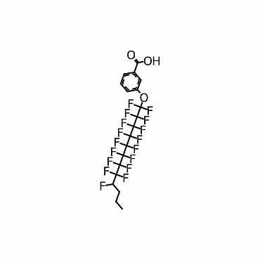 CCCC(F)C(F)(F)C(F)(F)C(F)(F)C(F)(F)C(F)(F)C(F)(F)C(F)(F)C(F)(F)Oc1cccc(C(=O)O)c1